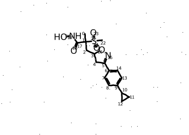 CC(CC1CC(c2ccc(C3CC3)cc2)=NO1)(C(=O)NO)S(C)(=O)=O